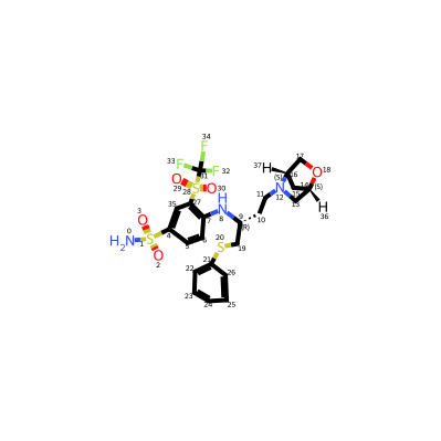 NS(=O)(=O)c1ccc(N[C@H](CCN2C[C@@H]3C[C@H]2CO3)CSc2ccccc2)c(S(=O)(=O)C(F)(F)F)c1